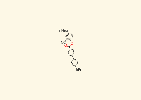 CCCCCCc1ccc(OC(=O)C2CCC(c3ccc(CCC)cc3)CC2)c(C#N)c1